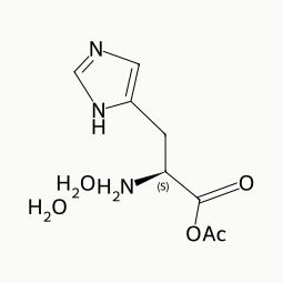 CC(=O)OC(=O)[C@@H](N)Cc1cnc[nH]1.O.O